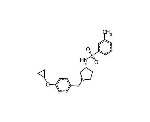 Cc1cccc(S(=O)(=O)N[C@@H]2CCN(Cc3ccc(OC4CC4)cc3)C2)c1